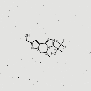 C[C@H]1Cn2nc(CO)cc2-c2cnc([C@@](C)(O)C(F)(F)F)n21